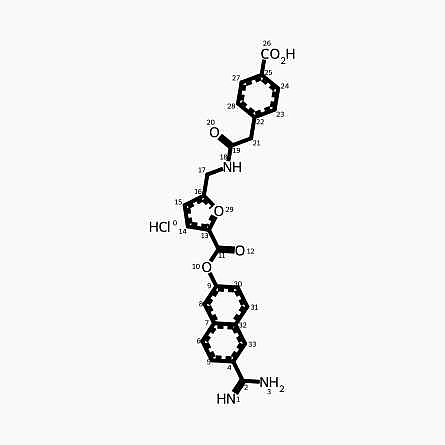 Cl.N=C(N)c1ccc2cc(OC(=O)c3ccc(CNC(=O)Cc4ccc(C(=O)O)cc4)o3)ccc2c1